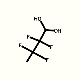 CC(F)(F)C(F)(F)C(O)O